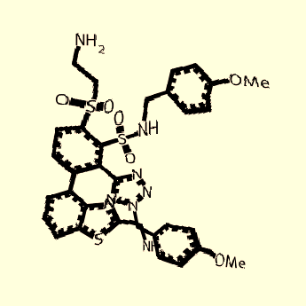 COc1ccc(CNS(=O)(=O)c2c(S(=O)(=O)CCN)ccc(-c3cccc4sc(CN)nc34)c2-c2nnn(Cc3ccc(OC)cc3)n2)cc1